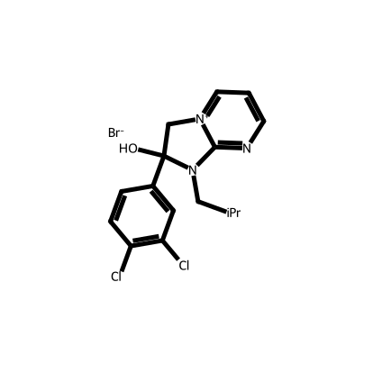 CC(C)CN1c2nccc[n+]2CC1(O)c1ccc(Cl)c(Cl)c1.[Br-]